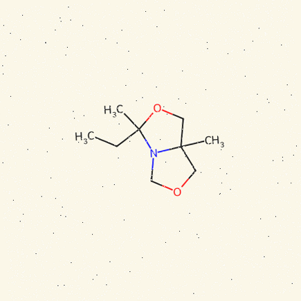 CCC1(C)OCC2(C)COCN21